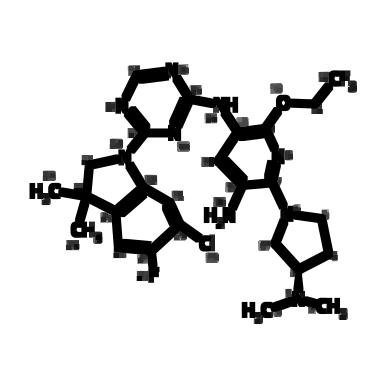 CN(C)[C@@H]1CCN(c2nc(OCC(F)(F)F)c(Nc3ncnc(N4CC(C)(C)c5cc(F)c(Cl)cc54)n3)cc2N)C1